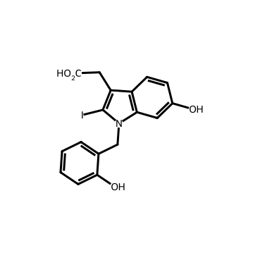 O=C(O)Cc1c(I)n(Cc2ccccc2O)c2cc(O)ccc12